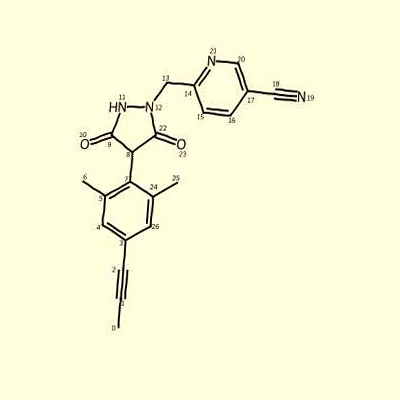 CC#Cc1cc(C)c(C2C(=O)NN(Cc3ccc(C#N)cn3)C2=O)c(C)c1